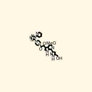 COc1cnc(-c2cc(CO)[nH]n2)c2[nH]cc(C(=O)C(=O)N3CCN(c4nnnn4-c4ccccn4)CC3)c12